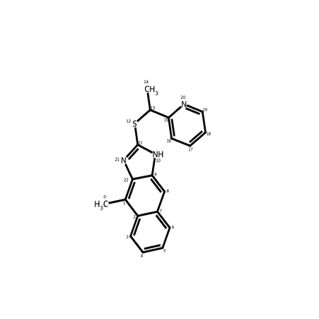 Cc1c2ccccc2cc2[nH]c(SC(C)c3ccccn3)nc12